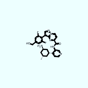 C[C@@H]1C[C@@H](N)C[C@H](c2ccncc2NC(=O)c2ccn3ncc(-c4c(F)cc(CO)cc4F)c3n2)C1